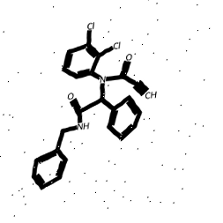 C#CC(=O)N(c1cccc(Cl)c1Cl)C(C(=O)NCc1ccccc1)c1ccccc1